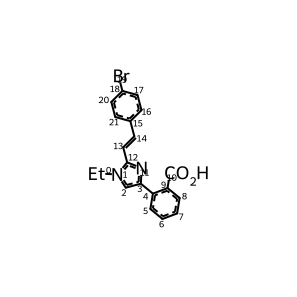 CCn1cc(-c2ccccc2C(=O)O)nc1C=Cc1ccc(Br)cc1